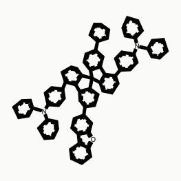 c1ccc(-c2ccc3c(c2)-c2c(-c4ccc(N(c5ccccc5)c5ccccc5)cc4)cccc2C32c3ccc(-c4ccc5c(c4)oc4ccccc45)cc3-c3c(-c4ccc(N(c5ccccc5)c5ccccc5)cc4)cccc32)cc1